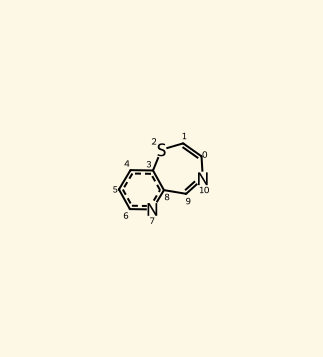 C1=CSc2cccnc2C=N1